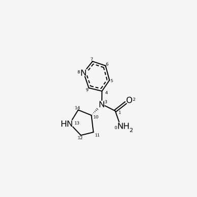 NC(=O)N(c1cccnc1)[C@@H]1CCNC1